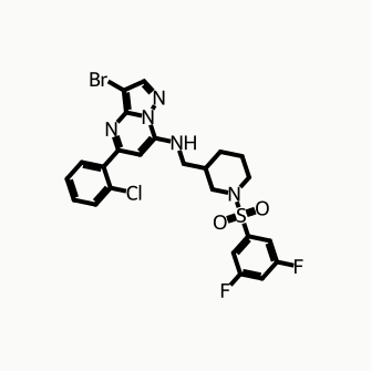 O=S(=O)(c1cc(F)cc(F)c1)N1CCCC(CNc2cc(-c3ccccc3Cl)nc3c(Br)cnn23)C1